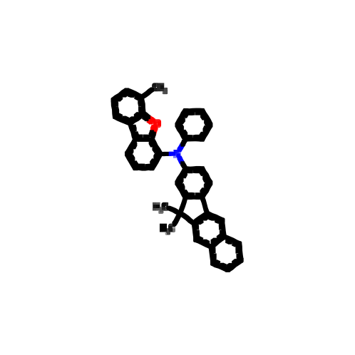 Cc1cccc2c1oc1c(N(c3ccccc3)c3ccc4c(c3)C(C)(C)c3cc5ccccc5cc3-4)cccc12